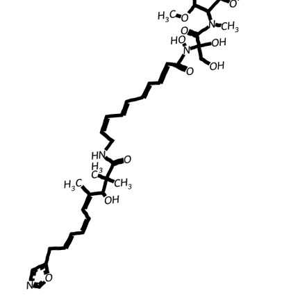 COC(C)C(C(O)OC)N(C)C(=O)C(O)(CO)N(O)C(=O)/C=C/C=C/C=C/C=C\CNC(=O)C(C)(C)C(O)\C(C)=C/C=C\C=C\Cc1cnco1